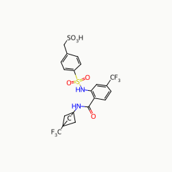 O=C(NC12CC(C(F)(F)F)(C1)C2)c1ccc(C(F)(F)F)cc1NS(=O)(=O)c1ccc(CS(=O)(=O)O)cc1